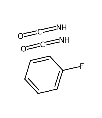 Fc1ccccc1.N=C=O.N=C=O